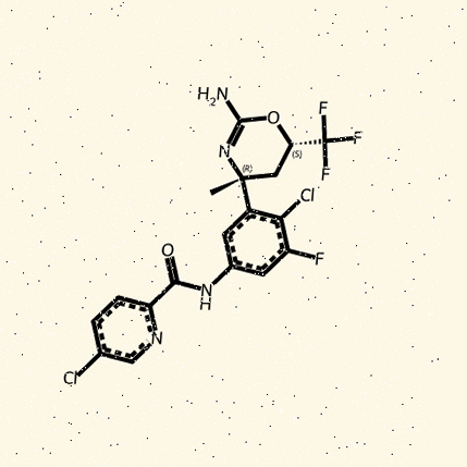 C[C@]1(c2cc(NC(=O)c3ccc(Cl)cn3)cc(F)c2Cl)C[C@@H](C(F)(F)F)OC(N)=N1